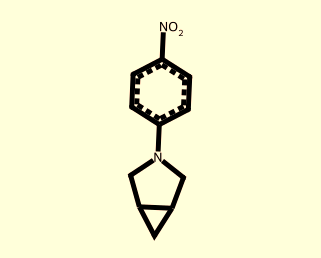 O=[N+]([O-])c1ccc(N2CC3CC3C2)cc1